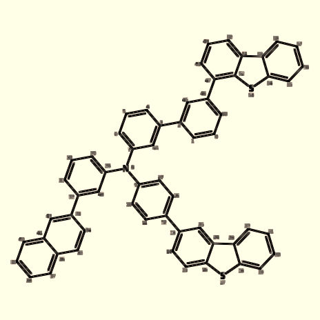 c1cc(-c2cccc(N(c3ccc(-c4ccc5sc6ccccc6c5c4)cc3)c3cccc(-c4ccc5ccccc5c4)c3)c2)cc(-c2cccc3c2sc2ccccc23)c1